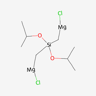 CC(C)O[Si]([CH2][Mg][Cl])([CH2][Mg][Cl])OC(C)C